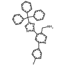 NCc1cnc(-c2ccc(F)cc2)cc1-c1ncn(C(c2ccccc2)(c2ccccc2)c2ccccc2)n1